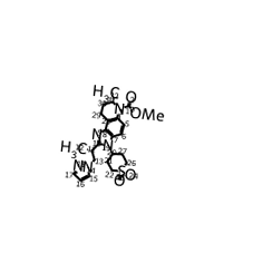 COC(=O)N1c2ccc3c(nc([C@@H](C)Cn4cccn4)n3C3CCS(=O)(=O)CC3)c2CC[C@@H]1C